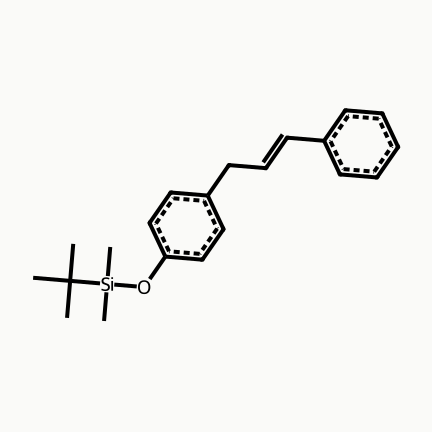 CC(C)(C)[Si](C)(C)Oc1ccc(CC=Cc2ccccc2)cc1